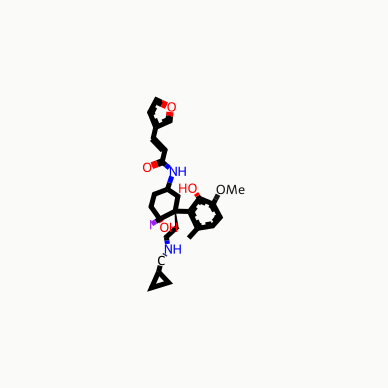 COc1ccc(C)c([C@@]2(CCNCC3CC3)CC(NC(=O)/C=C/c3ccoc3)CCC2(O)I)c1O